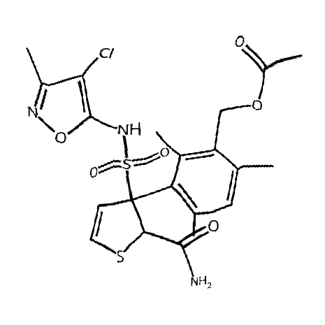 CC(=O)OCc1c(C)cc(C)c(C2(S(=O)(=O)Nc3onc(C)c3Cl)C=CSC2C(N)=O)c1C